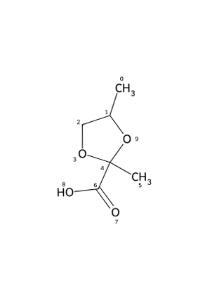 CC1COC(C)(C(=O)O)O1